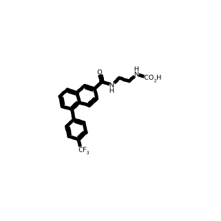 O=C(O)NCCNC(=O)c1ccc2c(-c3ccc(C(F)(F)F)cc3)cccc2c1